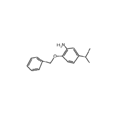 CC(C)c1ccc(OCc2ccccc2)c(N)c1